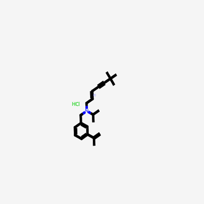 C=C(C)c1cccc(CN(C/C=C/C#CC(C)(C)C)C(C)C)c1.Cl